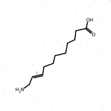 NC/C=C/CCCCCCCC(=O)O